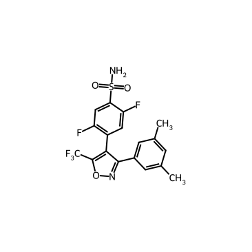 Cc1cc(C)cc(-c2noc(C(F)(F)F)c2-c2cc(F)c(S(N)(=O)=O)cc2F)c1